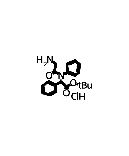 CC(C)(C)OC(=O)[C@H](c1ccccc1)N(C(=O)CN)c1ccccc1.Cl